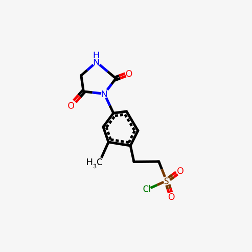 Cc1cc(N2C(=O)CNC2=O)ccc1CCS(=O)(=O)Cl